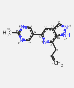 C=CCc1nc(-c2cnc(C)nc2)cc2cn[nH]c12